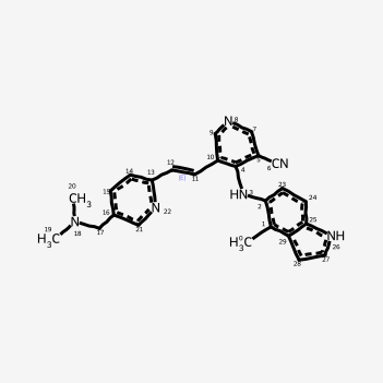 Cc1c(Nc2c(C#N)cncc2/C=C/c2ccc(CN(C)C)cn2)ccc2[nH]ccc12